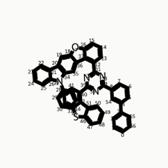 c1ccc(-c2cccc(-c3nc(-c4cccc5oc6cc7c8ccccc8n(-c8ccccc8)c7cc6c45)nc(-c4cccc5sc6ccccc6c45)n3)c2)cc1